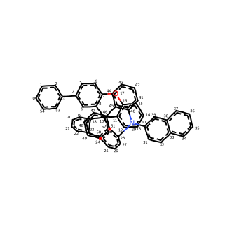 c1ccc(-c2ccc3c(c2)C2(c4ccccc4O3)c3ccccc3-c3cccc(N(c4ccc5ccccc5c4)c4ccccc4-c4ccccc4)c32)cc1